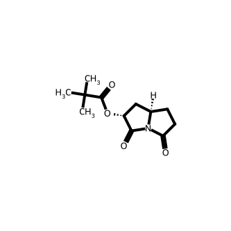 CC(C)(C)C(=O)O[C@@H]1C[C@H]2CCC(=O)N2C1=O